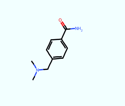 CN(C)Cc1ccc(C(N)=O)cc1